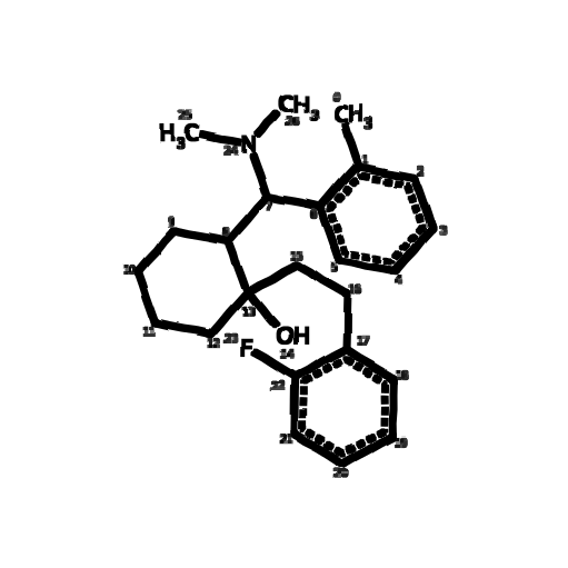 Cc1ccccc1C(C1CCCCC1(O)CCc1ccccc1F)N(C)C